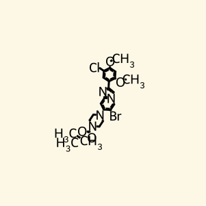 COc1cc(OC)c(-c2cn3cc(Br)c(N4CCN(C(=O)OC(C)(C)C)CC4)cc3n2)cc1Cl